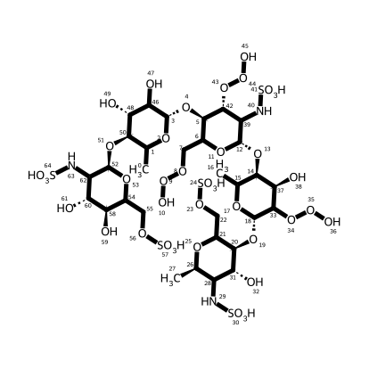 CC1O[C@@H](O[C@@H]2C(COOO)O[C@@H](O[C@@H]3C(C)O[C@@H](O[C@@H]4C(COS(=O)(=O)O)O[C@H](C)C(NS(=O)(=O)O)[C@H]4O)C(OOO)[C@@H]3O)C(NS(=O)(=O)O)[C@H]2OOO)C(O)[C@@H](O)[C@@H]1O[C@H]1OC(COS(=O)(=O)O)[C@@H](O)[C@H](O)C1NS(=O)(=O)O